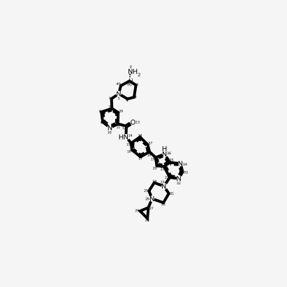 N[C@@H]1CCCN(Cc2ccnc(C(=O)Nc3ccc(-c4cc5c(N6CCN(C7CC7)CC6)ncnc5[nH]4)cc3)c2)C1